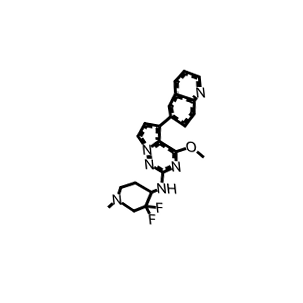 COc1nc(NC2CCN(C)CC2(F)F)nn2ccc(-c3ccc4ncccc4c3)c12